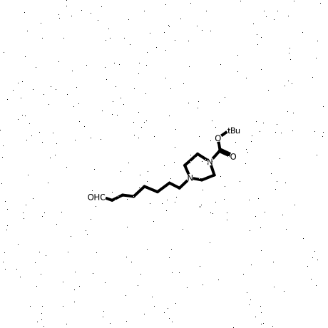 CC(C)(C)OC(=O)N1CCN(CCCCCCCC=O)CC1